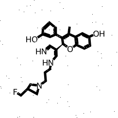 CC1=C(c2cccc(O)c2)[C@H](/C(C=N)=C/NCCCN2CC(CF)C2)Oc2ccc(O)cc21